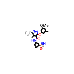 COc1cc(C)cc(Oc2nnc(C(F)(F)F)c(C)c2C(=O)Nc2cccc(S(C)(=N)=O)c2)c1